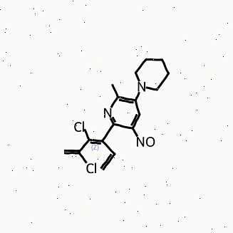 C=C/C(=C(/Cl)C(=C)Cl)c1nc(C)c(N2CCCCC2)cc1N=O